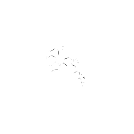 CC(C)(C)S(=O)(=O)NC(=O)c1cnn2ccc(N3C[C@H](F)CC3c3cc(F)ccc3F)cc12